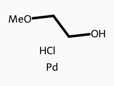 COCCO.Cl.[Pd]